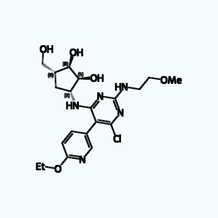 CCOc1ccc(-c2c(Cl)nc(NCCOC)nc2N[C@@H]2C[C@H](CO)[C@@H](O)[C@H]2O)cn1